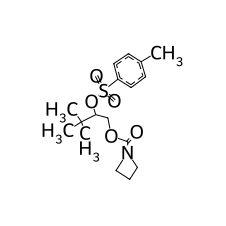 Cc1ccc(S(=O)(=O)OC(COC(=O)N2CCC2)C(C)(C)C)cc1